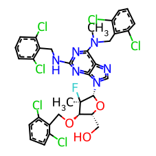 CN(Cc1c(Cl)cccc1Cl)c1nc(NCc2c(Cl)cccc2Cl)nc2c1ncn2[C@@H]1O[C@H](CO)[C@@H](OCc2c(Cl)cccc2Cl)[C@@]1(C)F